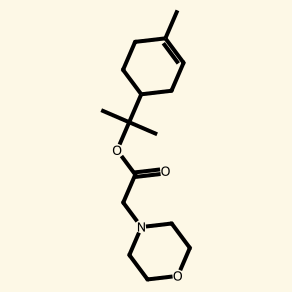 CC1=CCC(C(C)(C)OC(=O)CN2CCOCC2)CC1